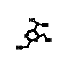 OCc1ncc(B(O)O)c(CO)n1